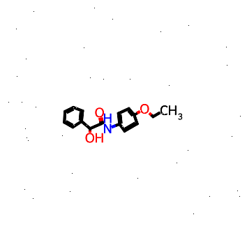 CCOc1ccc(NC(=O)C(O)c2ccccc2)cc1